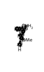 COc1cc2c(Oc3ccc(N(C(=O)C(N)=O)C(C)c4ccc5ccccc5c4)cc3F)ccnc2cc1OCC1CCNCC1